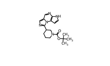 CC(C)(C)OC(=O)N1CCCC(c2ncc3cnc4[nH]ccc4n23)C1